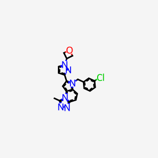 Cc1nnc2ccc3c(cc(-c4ccn(C5COC5)n4)n3Cc3cccc(Cl)c3)n12